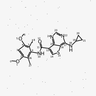 COc1cc(OC)c(I)c(NC(=O)c2csc3c(NC4CC4)ncnc23)c1C